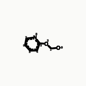 [O]COc1ccccn1